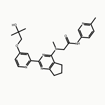 Cc1ccc(NC(=O)CN(C)c2nc(-c3cc(OCC(C)(C)O)ccn3)nc3c2CCC3)cn1